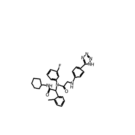 Cc1ccccc1C(C(=O)NC1CCCCC1)N(C(=O)CNc1ccc(-c2nnn[nH]2)cc1)c1cccc(F)c1